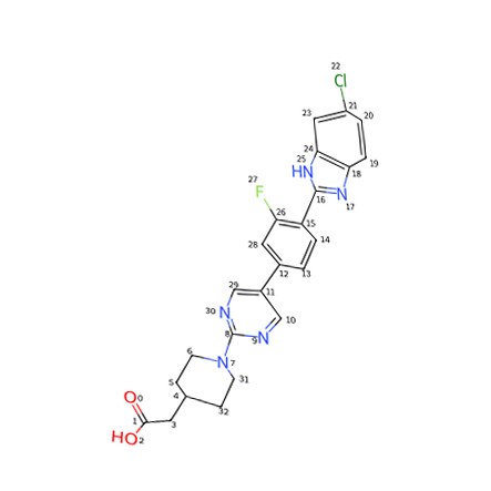 O=C(O)CC1CCN(c2ncc(-c3ccc(-c4nc5ccc(Cl)cc5[nH]4)c(F)c3)cn2)CC1